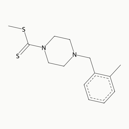 CSC(=S)N1CCN(Cc2ccccc2C)CC1